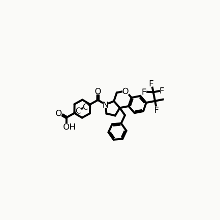 CC(F)(c1ccc2c(c1)OCC1N(C(=O)C34CCC(C(=O)O)(CC3)CC4)CCC21Cc1ccccc1)C(F)(F)F